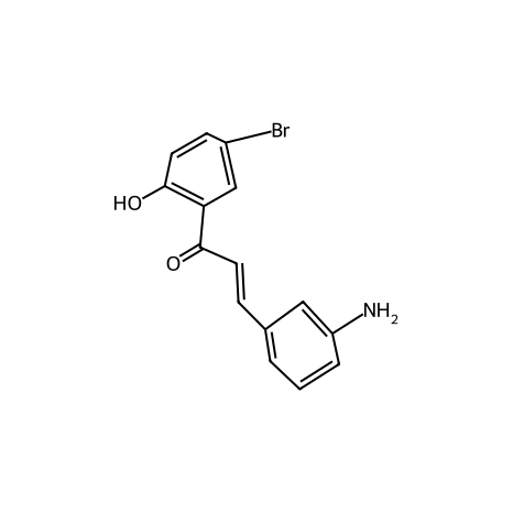 Nc1cccc(/C=C/C(=O)c2cc(Br)ccc2O)c1